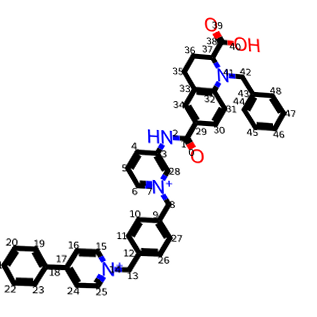 O=C(Nc1ccc[n+](Cc2ccc(C[n+]3ccc(-c4ccccc4)cc3)cc2)c1)c1ccc2c(c1)CCC(C(=O)O)N2Cc1ccccc1